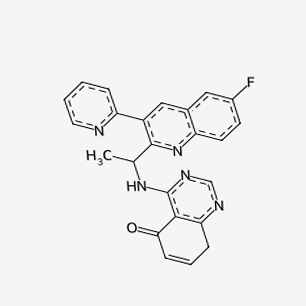 CC(Nc1ncnc2c1C(=O)C=CC2)c1nc2ccc(F)cc2cc1-c1ccccn1